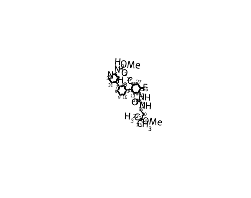 COC(=O)Nc1cc(-c2cccc(-c3cc(NC(=O)NCCC(C)(C)OC)c(F)cc3C)c2)ccn1